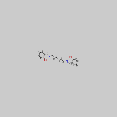 Oc1ccccc1/C=N/CCCCCC/N=C/c1ccccc1O